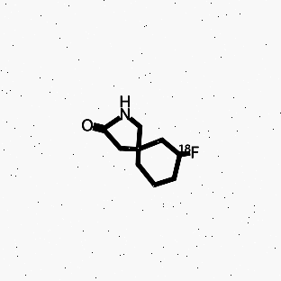 O=C1CC2(CCCC([18F])C2)CN1